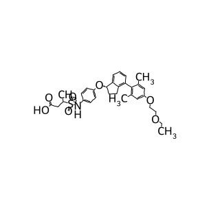 CCOCCOc1cc(C)c(-c2cccc3c2CC[C@H]3Oc2ccc(NS(=O)(=O)C(C)CC(=O)O)cc2)c(C)c1